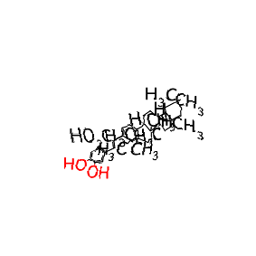 CC1(C)CC[C@]2(C)CC[C@]3(C)[C@H](CC[C@@H]4[C@@]5(C)CC=C(C(=Cc6ccc(O)c(O)c6)C(=O)O)C(C)(C)C5CC[C@]43C)[C@H]2C1